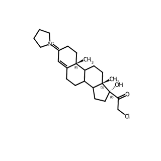 C[C@]12CCC(=[N+]3CCCC3)C=C1CCC1C2CC[C@@]2(C)C1CC[C@]2(O)C(=O)CCl